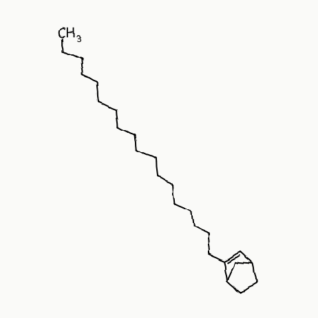 CCCCCCCCCCCCCCCCCCC1=CC2CCC1C2